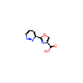 O=C(O)c1coc(-c2cccnn2)n1